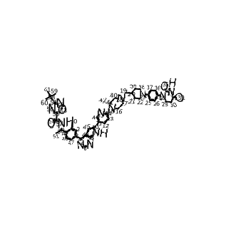 Cc1cc(-c2ncnc3[nH]c(-c4ccc(N5CCN(CC6CCN(c7ccc(N8CCC(=O)NC8=O)cc7)CC6)C[C@H]5C)nc4)cc23)ccc1C(C)NC(=O)c1nc(C(C)(C)C)no1